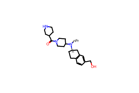 CCCN(C1CCN(C(=O)C2CCNCC2)CC1)[C@@H]1CCc2ccc(CO)cc2C1